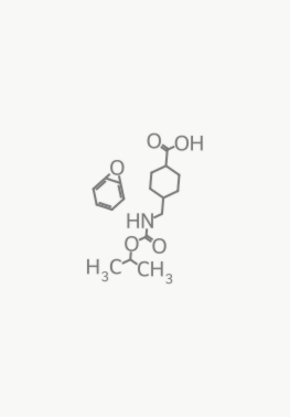 CC(C)OC(=O)NCC1CCC(C(=O)O)CC1.c1ccc2c(c1)O2